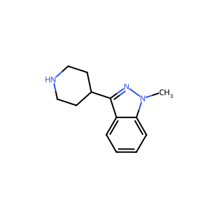 Cn1nc(C2CCNCC2)c2ccccc21